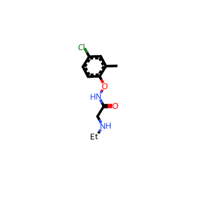 CCNCC(=O)NOc1ccc(Cl)cc1C